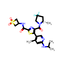 Cc1cc(NC(C)C)ncc1-c1sc(C(=O)NC2CS(=O)(=O)C2)nc1C(=O)N1CC(F)(F)C[C@@H]1C